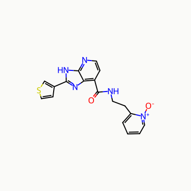 O=C(NCCc1cccc[n+]1[O-])c1ccnc2[nH]c(-c3ccsc3)nc12